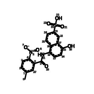 Cc1ccc([N+](=O)[O-])c(C(=O)Nc2ccc(O)c3cc(S(=O)(=O)O)ccc23)c1